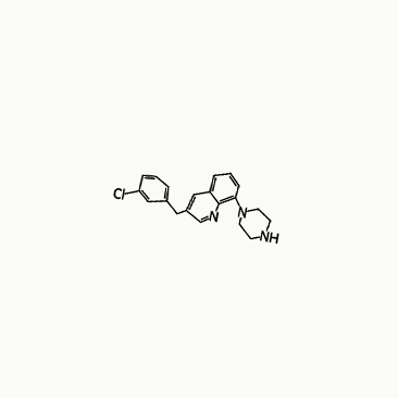 Clc1cccc(Cc2cnc3c(N4CCNCC4)cccc3c2)c1